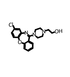 OCCN1CCN(C2=Nc3cc(Cl)ccc3Oc3ccccc32)CC1